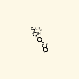 CC(=O)[C@@H]1CC[C@@H](c2ccc(OCc3ccccc3F)cc2)N1